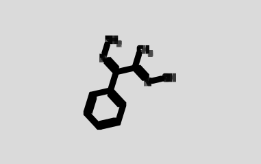 CC(=NO)C(=NN)c1ccccc1